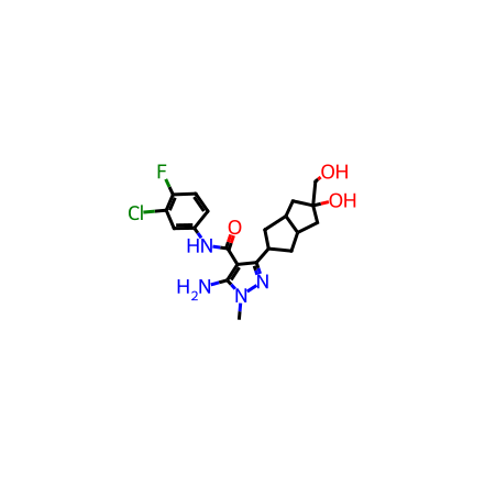 Cn1nc(C2CC3CC(O)(CO)CC3C2)c(C(=O)Nc2ccc(F)c(Cl)c2)c1N